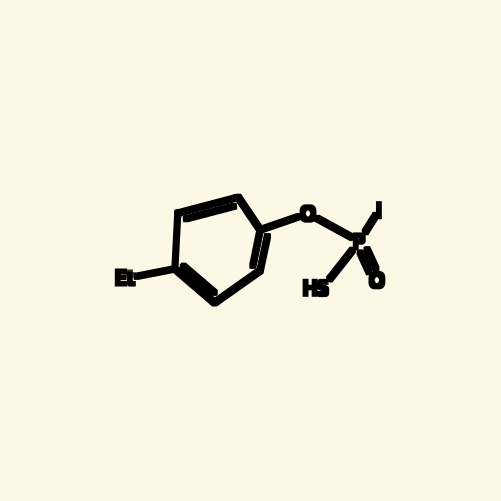 CCc1ccc(OP(=O)(S)I)cc1